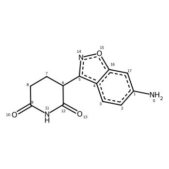 Nc1ccc2c(C3CCC(=O)NC3=O)noc2c1